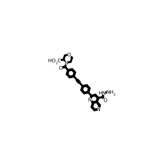 NNC(=O)c1cc(-c2ccc(C#Cc3ccc(C(=O)N4CCOCC4C(=O)O)cc3)cc2)nc2ccncc12